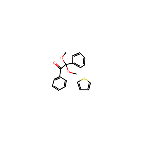 COC(OC)(C(=O)c1ccccc1)c1ccccc1.c1ccsc1